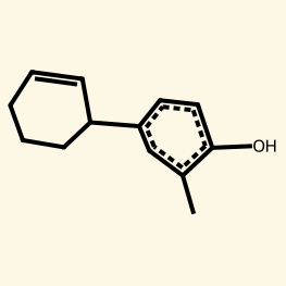 Cc1cc(C2C=CCCC2)ccc1O